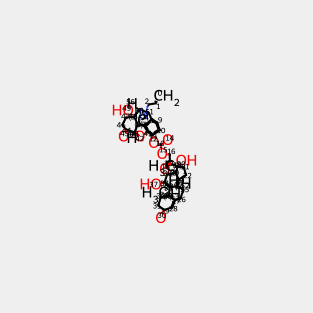 C=CCN1CC[C@]23c4c5ccc(OC(=O)OCC(=O)[C@@]6(O)CC[C@H]7[C@@H]8CCC9=CC(=O)CC[C@]9(C)[C@H]8[C@@H](O)C[C@@]76C)c4O[C@H]2C(=O)CC[C@@]3(O)[C@H]1C5